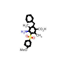 COc1ccc(S(=O)(=O)c2c(C)c(C(=O)O)c(Cc3ccccc3)c(C)c2N)cc1